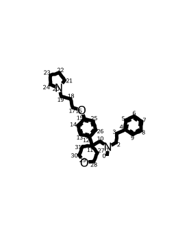 CN(CCc1ccccc1)CC1(c2ccc(OCCCN3CCCC3)cc2)CCOCC1